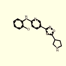 Clc1ccccc1Nc1ccc(-c2noc(C3CCNC3)n2)cn1